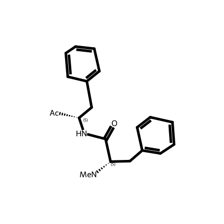 CN[C@@H](Cc1ccccc1)C(=O)N[C@@H](Cc1ccccc1)C(C)=O